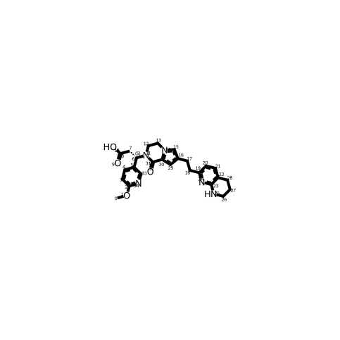 COc1ccc([C@H](CC(=O)O)N2CCn3cc(CCc4ccc5c(n4)NCCC5)cc3C2=O)cn1